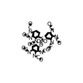 O=C=Nc1ccc(OP(=O)(Oc2ccc(N=C=O)c(N=C=O)c2N=C=O)Sc2ccc(N=C=O)c(N=C=O)c2N=C=O)c(N=C=O)c1N=C=O